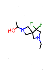 CCN1CC(F)(F)C2(C1)CN(C(C)O)C2